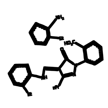 CCCC1=NN(c2ccccc2C(=O)O)C(=O)/C1=C/Nc1ccccc1CC.CCc1ccccc1N